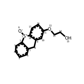 [O-][S+]1c2ccccc2Cc2cc(OCCO)ccc21